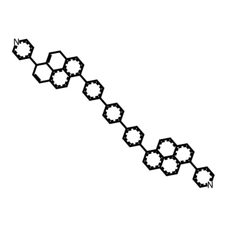 C1=CC(c2ccncc2)C2=CCc3ccc(-c4ccc(-c5ccc(-c6ccc(-c7ccc8ccc9c(-c%10ccncc%10)ccc%10ccc7c8c%109)cc6)cc5)cc4)c4ccc1c2c34